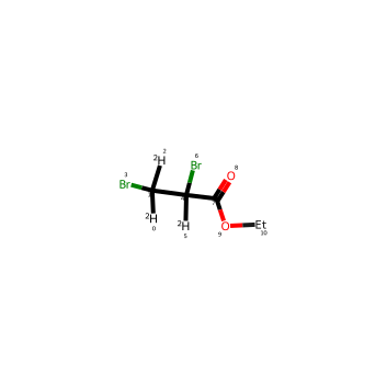 [2H]C([2H])(Br)C([2H])(Br)C(=O)OCC